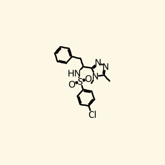 Cc1nnc(C(Cc2ccccc2)NS(=O)(=O)c2ccc(Cl)cc2)n1C